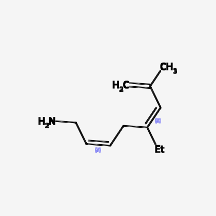 C=C(C)/C=C(/CC)C/C=C\CN